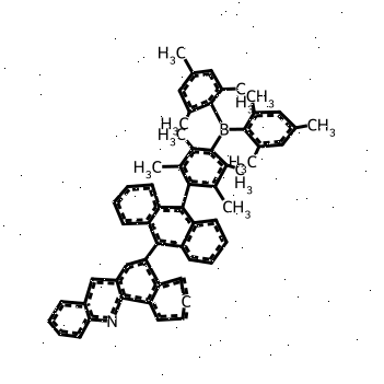 Cc1cc(C)c(B(c2c(C)cc(C)cc2C)c2c(C)c(C)c(-c3c4ccccc4c(-c4cc5cc6ccccc6nc5c5ccccc45)c4ccccc34)c(C)c2C)c(C)c1